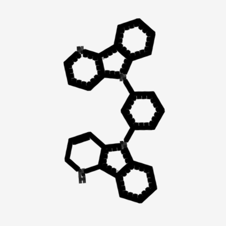 C1=Cc2c(c3ccccc3n2-c2cccc(-n3c4ccccc4c4ncccc43)c2)NC1